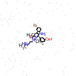 C=C1N(CCCNC)C(=O)[C@]2(C)Cc3c([nH]c4ccc(Br)cc34)[C@@H](c3cccc(O)c3)N12